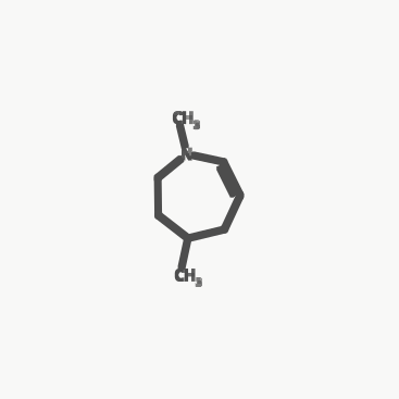 CC1CC=CN(C)CC1